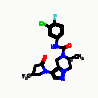 C[C@H]1Cn2ncc(N3CC(C(F)(F)F)CC3=O)c2CN1C(=O)Nc1ccc(F)c(Cl)c1